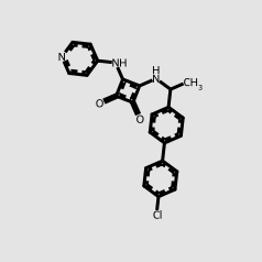 CC(Nc1c(Nc2ccncc2)c(=O)c1=O)c1ccc(-c2ccc(Cl)cc2)cc1